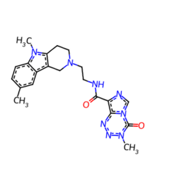 Cc1ccc2c(c1)c1c(n2C)CCN(CCNC(=O)c2ncn3c(=O)n(C)nnc23)C1